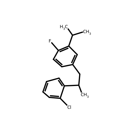 CC(C)c1cc(CC(C)c2ccccc2Cl)ccc1F